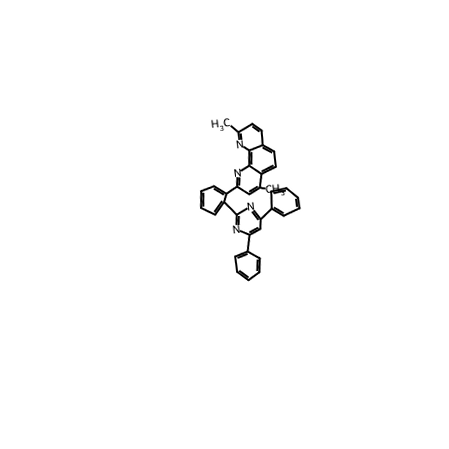 Cc1ccc2ccc3c(C)cc(-c4ccccc4-c4nc(-c5ccccc5)cc(-c5ccccc5)n4)nc3c2n1